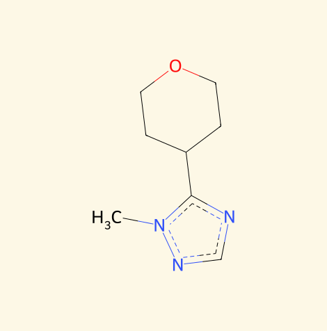 Cn1ncnc1C1CCOCC1